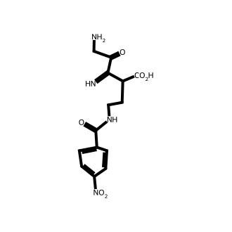 N=C(C(=O)CN)C(CCNC(=O)c1ccc([N+](=O)[O-])cc1)C(=O)O